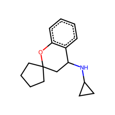 c1ccc2c(c1)OC1(CCCC1)CC2NC1CC1